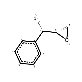 Br[C@@H](c1ccccc1)[C@@H]1CO1